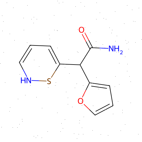 NC(=O)C(C1=CC=CNS1)c1ccco1